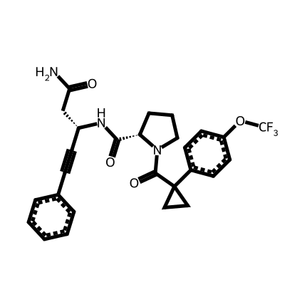 NC(=O)C[C@@H](C#Cc1ccccc1)NC(=O)[C@@H]1CCCN1C(=O)C1(c2ccc(OC(F)(F)F)cc2)CC1